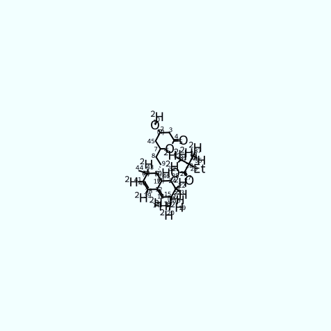 [2H]O[C@H]1CC(=O)OC(CC[C@@H]2[C@@H]3C(=C([2H])[C@]([2H])(C([2H])([2H])[2H])C([2H])([2H])C3OC(=O)C(CC)(C([2H])([2H])[2H])C([2H])([2H])[2H])C([2H])=C([2H])[C@]2([2H])C)C1